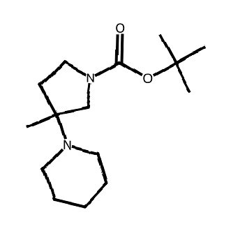 CC(C)(C)OC(=O)N1CCC(C)(N2CCCCC2)C1